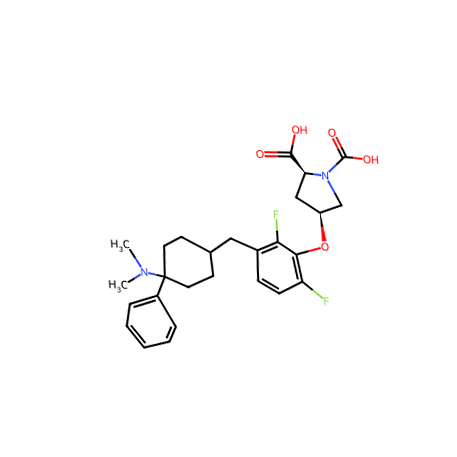 CN(C)C1(c2ccccc2)CCC(Cc2ccc(F)c(O[C@H]3C[C@@H](C(=O)O)N(C(=O)O)C3)c2F)CC1